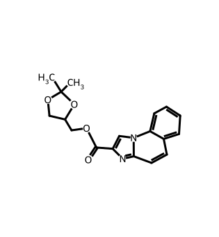 CC1(C)OCC(COC(=O)c2cn3c(ccc4ccccc43)n2)O1